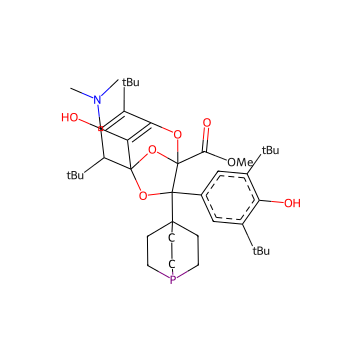 COC(=O)C12OC3=C(CN(C)C)C(O1)(OC2(c1cc(C(C)(C)C)c(O)c(C(C)(C)C)c1)C12CCP(CC1)CC2)C(C(C)(C)C)C(O)=C3C(C)(C)C